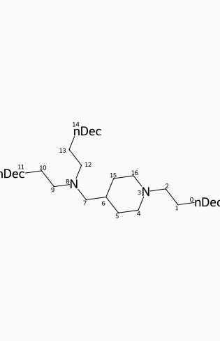 CCCCCCCCCCCCN1CCC(CN(CCCCCCCCCCCC)CCCCCCCCCCCC)CC1